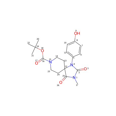 CN1C(=O)N(c2ccc(O)cc2)C2(CCN(C(=O)OC(C)(C)C)CC2)C1=O